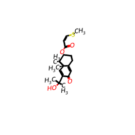 CS/C=C\C(=O)O[C@@H]1CCC2=CC(=O)C(C(C)(C)O)=C[C@]2(C)[C@H]1C